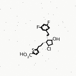 O=C(O)c1ccc(CCC[C@@H]2[C@H](C=Cc3cc(F)cc(F)c3)[C@H](O)C[C@@H]2Cl)s1